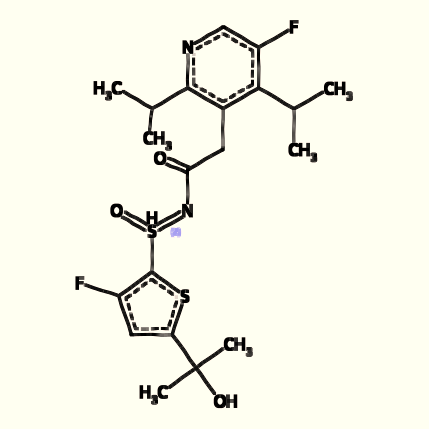 CC(C)c1ncc(F)c(C(C)C)c1CC(=O)/N=[SH](=O)/c1sc(C(C)(C)O)cc1F